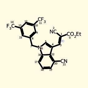 CCOC(=O)/C(C#N)=C/c1cn(Cc2cc(C(F)(F)F)cc(C(F)(F)F)c2)c2cccc(C#N)c12